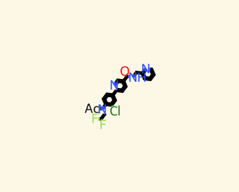 CC(=O)N(CC(F)F)c1ccc(-c2ccc(C(=O)NCc3ccccn3)cn2)cc1Cl